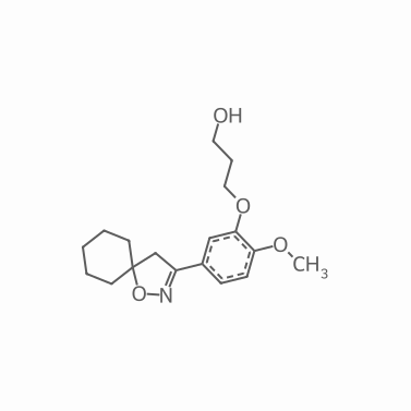 COc1ccc(C2=NOC3(CCCCC3)C2)cc1OCCCO